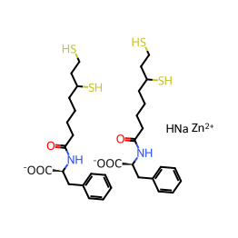 O=C(CCCCC(S)CCS)N[C@@H](Cc1ccccc1)C(=O)[O-].O=C(CCCCC(S)CCS)N[C@@H](Cc1ccccc1)C(=O)[O-].[NaH].[Zn+2]